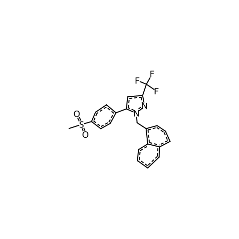 CS(=O)(=O)c1ccc(-c2cc(C(F)(F)F)nn2Cc2cccc3ccccc23)cc1